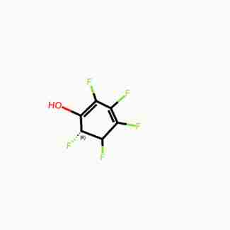 OC1=C(F)C(F)=C(F)C(F)[C@@H]1F